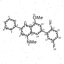 CNc1nc(-c2cccnc2)nc2c(OC)cc(-c3cc(F)ccc3F)cc12